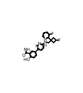 NC(=O)c1cc(-c2ccc(NCC3(c4ncccc4F)CC(F)C3)nn2)ccc1O